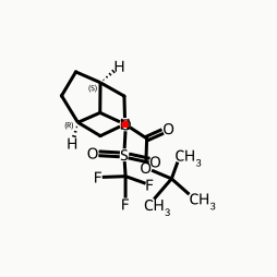 CC(C)(C)OC(=O)N1C[C@H]2CC[C@@H](C1)C2OS(=O)(=O)C(F)(F)F